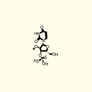 CO[C@@H]1[C@H](OP(O)(=S)S)[C@@H](CO)O[C@H]1n1ccc(=O)[nH]c1=O